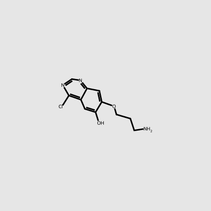 NCCCOc1cc2ncnc(Cl)c2cc1O